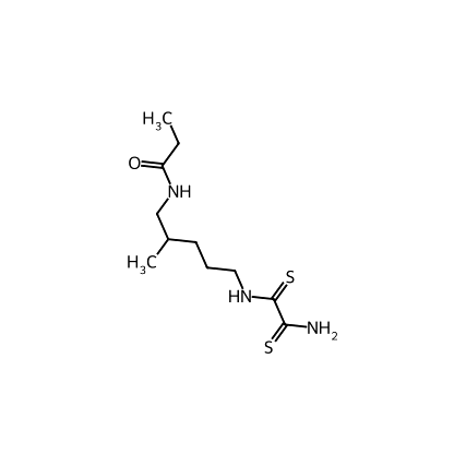 CCC(=O)NCC(C)CCCNC(=S)C(N)=S